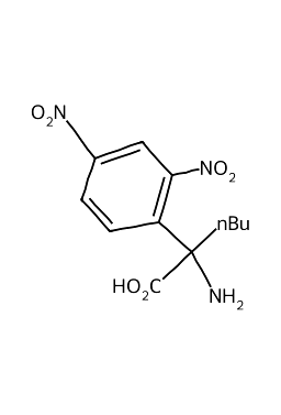 CCCCC(N)(C(=O)O)c1ccc([N+](=O)[O-])cc1[N+](=O)[O-]